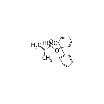 C=C(C)C(=O)OC1(c2ccccc2)C=CC=CC1C(=O)O